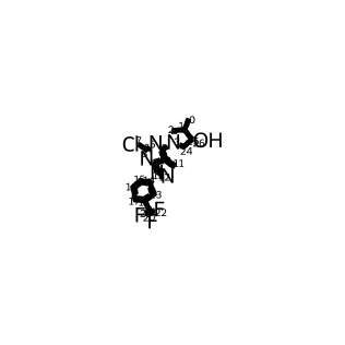 CC1CN(c2nc(Cl)nc3c2cnn3-c2cccc(C(F)(F)F)c2)CC1O